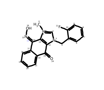 C[n+]1cn(Cc2ccccc2F)c2c1/C(=N\O)c1ccccc1C2=O